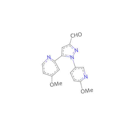 COc1ccnc(-c2cc(C=O)nn2-c2ccc(OC)nc2)c1